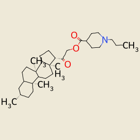 CCCN1CCC(C(=O)OCC(=O)[C@H]2CCC3[C@]4(C)CCC5C[C@@H](C)CC[C@]5(C)C4CC[C@@]32C)CC1